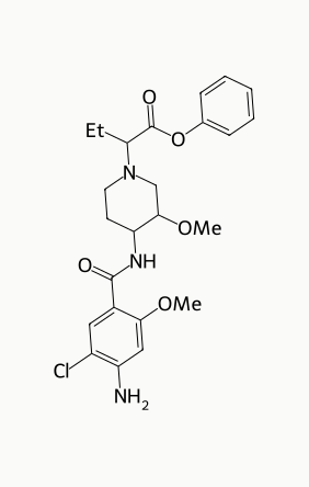 CCC(C(=O)Oc1ccccc1)N1CCC(NC(=O)c2cc(Cl)c(N)cc2OC)C(OC)C1